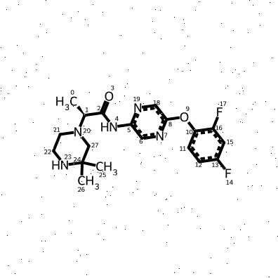 C[C@@H](C(=O)Nc1cnc(Oc2ccc(F)cc2F)cn1)N1CCNC(C)(C)C1